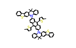 Cc1ccc(-c2c3ccc(N4c5ccccc5C(C)(C)c5cc6c(cc54)sc4ccccc46)cc3c(-c3ccc(C)s3)c3ccc(N4c5ccccc5C(C)(C)c5cc6c(cc54)sc4ccccc46)cc23)s1